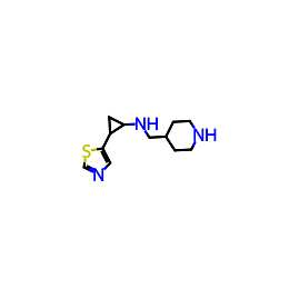 c1ncc(C2CC2NCC2CCNCC2)s1